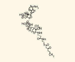 C=CCC(=O)CC(=O)SCCNC(=O)CCNC(=O)[C@H](O)C(C)(C)COP(=O)(O)OP(=O)(O)OC[C@H]1O[C@@H](n2cnc3c(N)ncnc32)[C@H](O)[C@@H]1OP(=O)(O)O